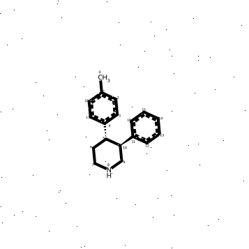 Cc1ccc([C@H]2CCNC[C@@H]2c2ccccc2)cc1